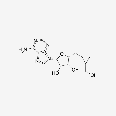 Nc1ncnc2c1ncn2[C@@H]1O[C@H](CN2CC2CO)[C@H](O)C1O